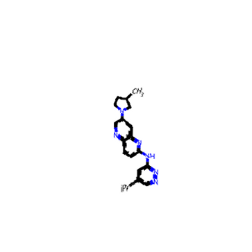 CC1CCN(c2cnc3ccc(Nc4cc(C(C)C)cnn4)nc3c2)C1